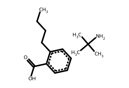 CC(C)(C)N.CCCCc1ccccc1C(=O)O